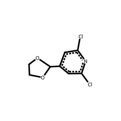 Clc1cc(C2OCCO2)cc(Cl)n1